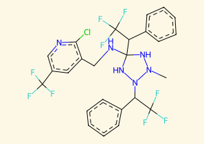 CN1NC(NCc2cc(C(F)(F)F)cnc2Cl)(C(c2ccccc2)C(F)(F)F)NN1C(c1ccccc1)C(F)(F)F